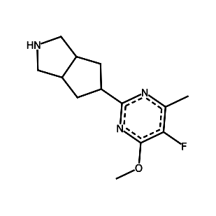 COc1nc(C2CC3CNCC3C2)nc(C)c1F